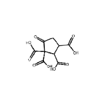 O=C(O)C1CC(=O)C(C(=O)O)(C(=O)O)C1C(=O)O